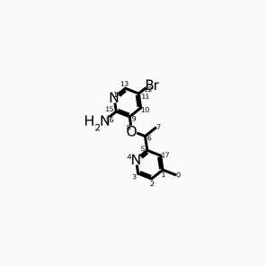 Cc1ccnc(C(C)Oc2cc(Br)cnc2N)c1